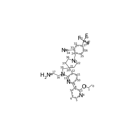 CCOc1ncccc1-c1ccc2c(n1)N(CCN)CC21CCN(c2ccc(C(F)(F)F)cc2C#N)CC1